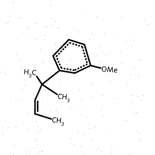 C/C=C\C(C)(C)c1cccc(OC)c1